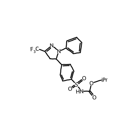 CC(C)OC(=O)NS(=O)(=O)c1ccc(C2CC(C(F)(F)F)=NN2c2ccccc2)cc1